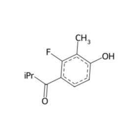 Cc1c(O)ccc(C(=O)C(C)C)c1F